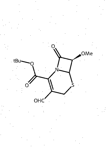 CO[C@@H]1C(=O)N2C(C(=O)OC(C)(C)C)=C(C=O)CSC12